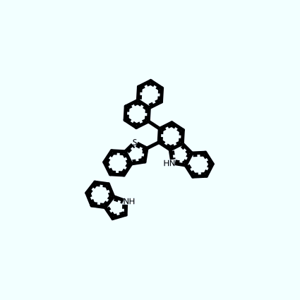 c1ccc2[nH]ccc2c1.c1ccc2sc(-c3c(-c4cccc5ccccc45)ccc4c3[nH]c3ccccc34)cc2c1